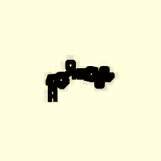 CCS(=O)(=O)c1ccc(CNC(=O)c2ccc3[nH]ccc3c2)cc1